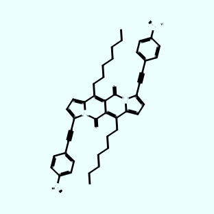 CCCCCCCc1c2c(=O)n3c(C#Cc4ccc([N+](=O)[O-])cc4)ccc3c(CCCCCCC)c2c(=O)n2c(C#Cc3ccc([N+](=O)[O-])cc3)ccc12